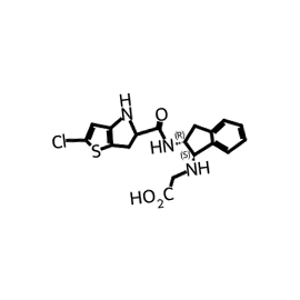 O=C(O)CN[C@H]1c2ccccc2C[C@H]1NC(=O)C1Cc2sc(Cl)cc2N1